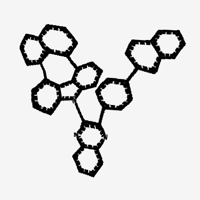 c1ccc2cc(-c3ccc(-c4nc5ccccc5nc4-n4c5cccc6c5c5c(cccc54)-c4cccc5cccc-6c45)cc3)ccc2c1